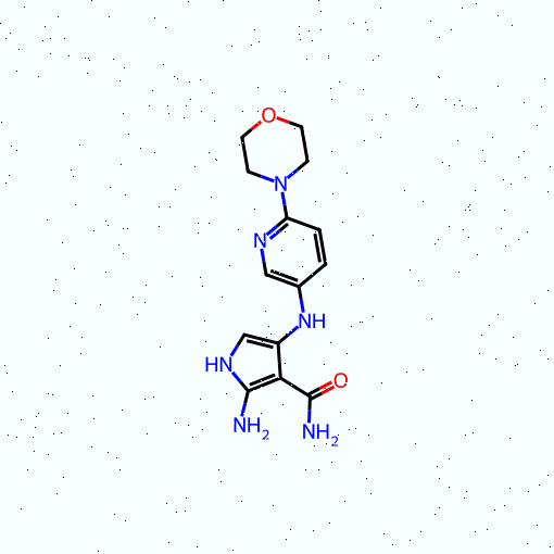 NC(=O)c1c(Nc2ccc(N3CCOCC3)nc2)c[nH]c1N